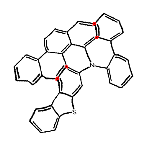 c1ccc(-c2ccccc2N(c2ccc3c(c2)sc2ccccc23)c2cccc3ccc4c5ccccc5ccc4c23)cc1